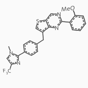 COc1ccccc1-c1ncc2scc(Cc3ccc(-c4nc(C(F)(F)F)cn4C)cc3)c2n1